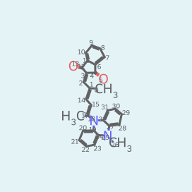 C/C(C=C1C(=O)c2ccccc2C1=O)=C\C=C(/C)N1c2ccccc2N(C)c2ccccc21